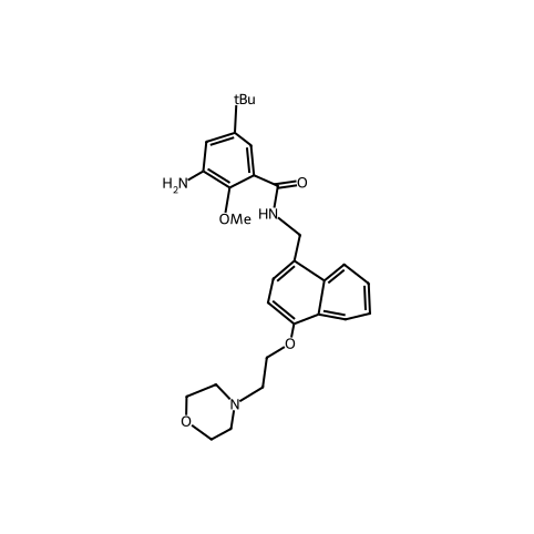 COc1c(N)cc(C(C)(C)C)cc1C(=O)NCc1ccc(OCCN2CCOCC2)c2ccccc12